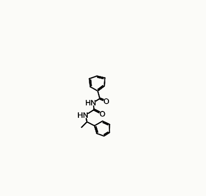 CC(NC(=O)NC(=O)c1ccccc1)c1ccccc1